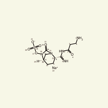 N=C(NC(=O)CCN)[C@@H]1CC[C@@H]2CN1C(=O)N2OS(=O)(=O)[O-].[Na+]